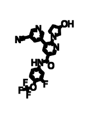 N#Cc1cncc(-c2cc(C(=O)Nc3ccc(OC(F)(F)F)c(F)c3)cnc2N2CCC(O)C2)c1